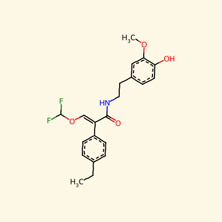 CCc1ccc(/C(=C\OC(F)F)C(=O)NCCc2ccc(O)c(OC)c2)cc1